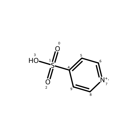 O=S(=O)(O)C1=CC=[N+]C=C1